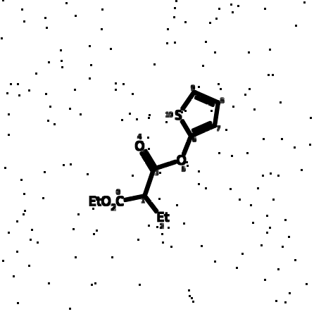 CCOC(=O)C(CC)C(=O)Oc1cccs1